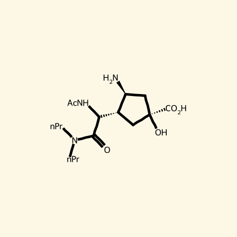 CCCN(CCC)C(=O)C(NC(C)=O)[C@H]1C[C@@](O)(C(=O)O)C[C@@H]1N